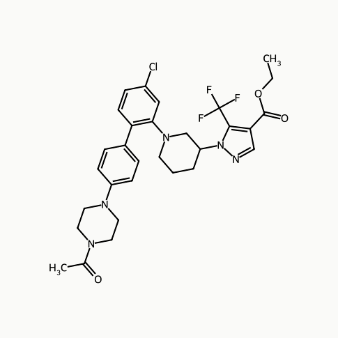 CCOC(=O)c1cnn(C2CCCN(c3cc(Cl)ccc3-c3ccc(N4CCN(C(C)=O)CC4)cc3)C2)c1C(F)(F)F